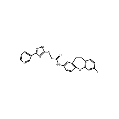 O=C(CSc1nc(-c2cccnc2)n[nH]1)Nc1ccc2c(c1)CCc1ccc(F)cc1O2